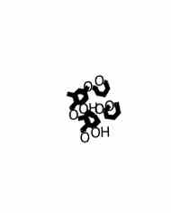 Cc1cc(OC2CCCCO2)cc(O)c1C=O.Cc1cc(OC2CCCCO2)cc(O)c1C=O